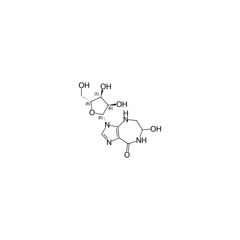 O=C1NC(O)CNc2c1ncn2[C@@H]1O[C@H](CO)[C@@H](O)[C@H]1O